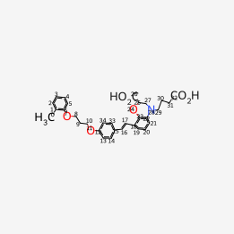 Cc1ccccc1OCCCOc1ccc(C=Cc2cccc3c2OC(C(=O)O)CN3CCCC(=O)O)cc1